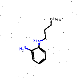 CCCCCCCCCNc1ccccc1N